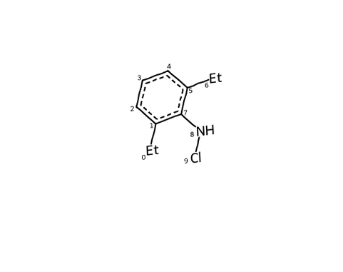 CCc1cccc(CC)c1NCl